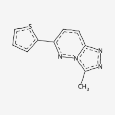 Cc1nnc2ccc(-c3cccs3)nn12